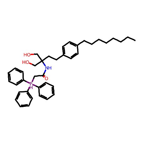 CCCCCCCCc1ccc(CCC(CO)(CO)NC(=O)C[PH](c2ccccc2)(c2ccccc2)c2ccccc2)cc1